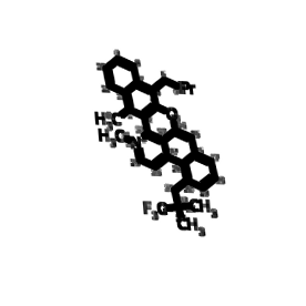 Cc1c2c(c(CC(C)C)c3ccccc13)Oc1cc3cccc(CC(C)(C)C(F)(F)F)c3c3cc[n+](C)c-2c13